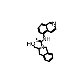 OCC1Cc2ccccc2CN1C(=S)Nc1cccc2cnccc12